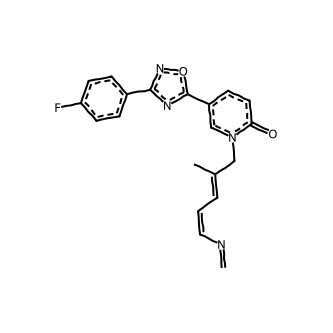 C=N/C=C\C=C(/C)Cn1cc(-c2nc(-c3ccc(F)cc3)no2)ccc1=O